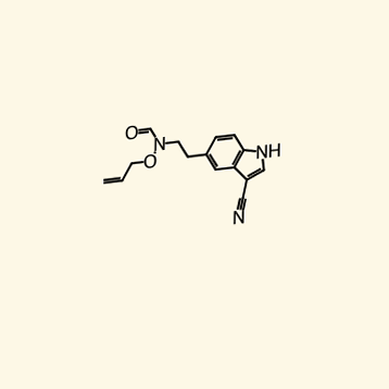 C=CCON(C=O)CCc1ccc2[nH]cc(C#N)c2c1